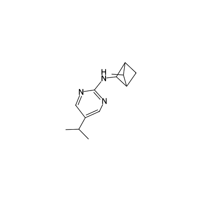 CC(C)c1cnc(NC2C3CC2C3C)nc1